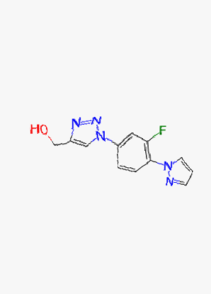 OCc1cn(-c2ccc(-n3cccn3)c(F)c2)nn1